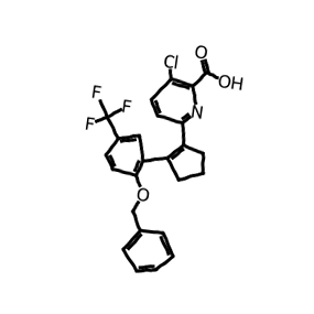 O=C(O)c1nc(C2=C(c3cc(C(F)(F)F)ccc3OCc3ccccc3)CCC2)ccc1Cl